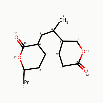 CC(C)C1CCC(CC(C)C2CCC(=O)OC2)C(=O)O1